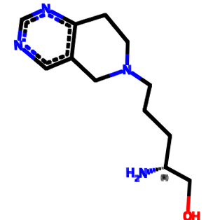 N[C@@H](CO)CCCN1CCc2ncncc2C1